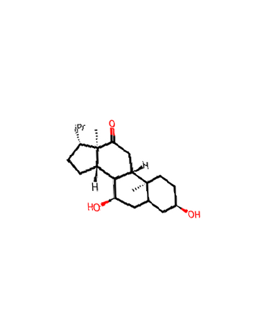 CC(C)[C@H]1CC[C@H]2C3[C@H](O)CC4C[C@H](O)CC[C@]4(C)[C@H]3CC(=O)[C@]12C